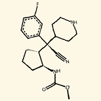 COC(=O)N[C@H]1CCC[C@@H]1[C@](C#N)(c1cccc(F)c1)C1CCNCC1